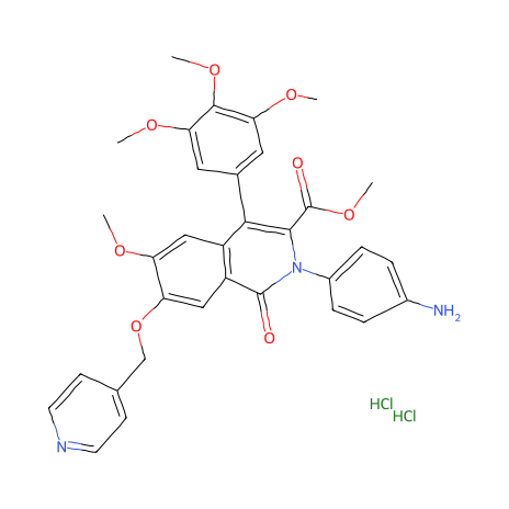 COC(=O)c1c(-c2cc(OC)c(OC)c(OC)c2)c2cc(OC)c(OCc3ccncc3)cc2c(=O)n1-c1ccc(N)cc1.Cl.Cl